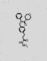 NNC(=O)CCc1ccc(CN(C(=O)N2CCOCC2)c2ccccc2)cc1